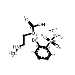 CNCCOC(=O)O.Cl.NS(=O)(=O)c1ccccc1Br